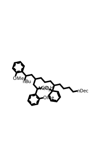 CCCCCCCCCCCCCCC(CCCC(CC(CCCC)c1ccccc1OC)CC(C(=O)O)c1ccccc1OC)C1(OC)C=CC=CC1